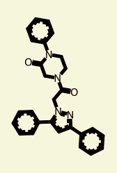 O=C(Cn1nc(-c2ccccc2)cc1-c1ccccc1)N1CCN(c2ccccc2)C(=O)C1